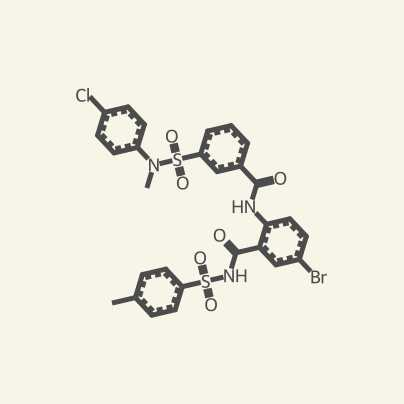 Cc1ccc(S(=O)(=O)NC(=O)c2cc(Br)ccc2NC(=O)c2cccc(S(=O)(=O)N(C)c3ccc(Cl)cc3)c2)cc1